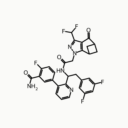 NC(=O)c1cc(-c2cccnc2C(Cc2cc(F)cc(F)c2)NC(=O)Cn2nc(C(F)F)c3c2C2CC(C2)C3=O)ccc1F